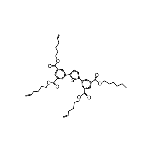 C=CCCCCOC(=O)c1cc(C(=O)OCCCCC=C)cc(-c2ccc(-c3cc(C(=O)OCCCCC=C)cc(C(=O)OCCCCCC)c3)s2)c1